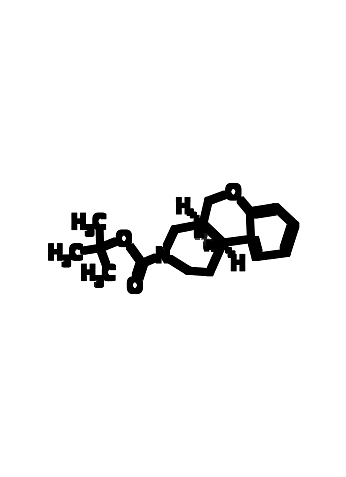 CC(C)(C)OC(=O)N1CC[C@@H]2c3ccccc3OC[C@@H]2C1